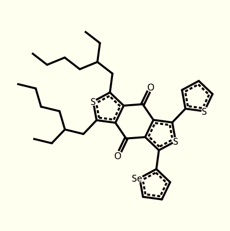 CCCCC(CC)Cc1sc(CC(CC)CCCC)c2c1C(=O)c1c(-c3cccs3)sc(-c3ccc[se]3)c1C2=O